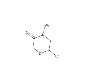 CCCN1CC(CC)OCC1=O